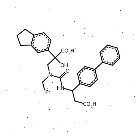 CC(C)CN(CC(O)(C(=O)O)c1ccc2c(c1)CCC2)C(=O)NC(CC(=O)O)c1ccc(-c2ccccc2)cc1